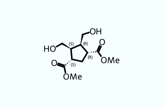 COC(=O)[C@H]1C[C@@H](C(=O)OC)[C@H](CO)[C@@H]1CO